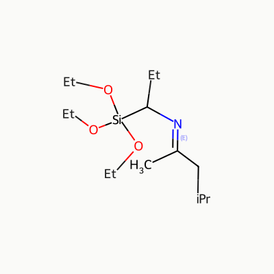 CCO[Si](OCC)(OCC)C(CC)/N=C(\C)CC(C)C